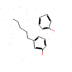 CCCCCc1cccc(O)c1.Oc1ccccc1